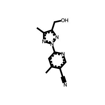 Cc1cc(-n2nc(C)c(CO)n2)ncc1C#N